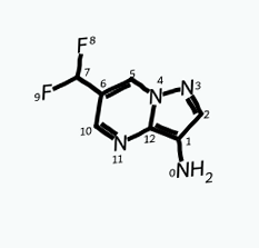 Nc1cnn2cc(C(F)F)cnc12